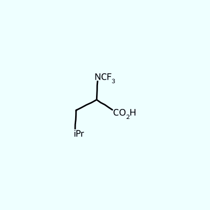 CC(C)CC(NC(F)(F)F)C(=O)O